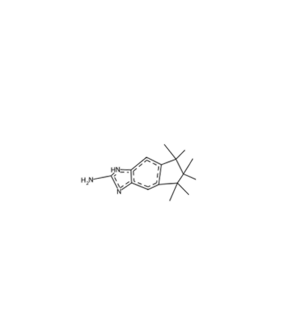 CC1(C)c2cc3nc(N)[nH]c3cc2C(C)(C)C1(C)C